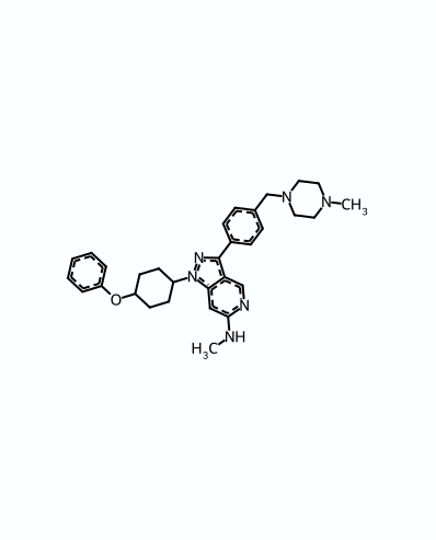 CNc1cc2c(cn1)c(-c1ccc(CN3CCN(C)CC3)cc1)nn2C1CCC(Oc2ccccc2)CC1